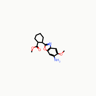 COC(=O)C1CCCCC1c1nc2cc(OC)c(N)cc2o1